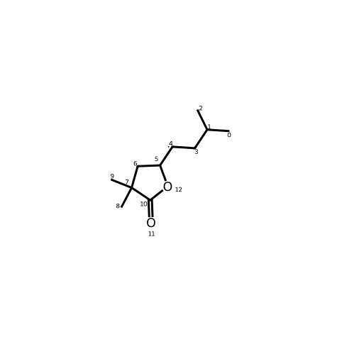 CC(C)C[CH]C1CC(C)(C)C(=O)O1